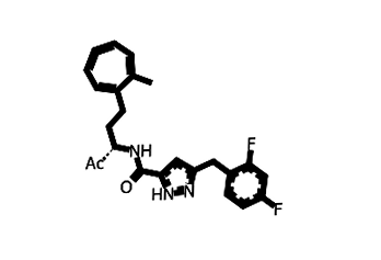 CC(=O)[C@H](CCC1=CC=C=CC=C1C)NC(=O)c1cc(Cc2ccc(F)cc2F)n[nH]1